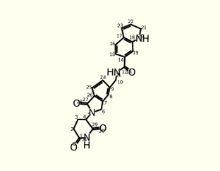 O=C1CCC(N2Cc3cc(CNC(=O)c4ccc5c(c4)NCC=C5)ccc3C2=O)C(=O)N1